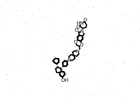 O=C1CCC(N2Cc3cc4c(cc3C2=O)OCC(CN2CCC3(CC2)CCN(c2ccc([C@@H]5c6ccc(O)cc6CC[C@@H]5c5ccccc5)cc2)CC3)O4)C(=O)N1